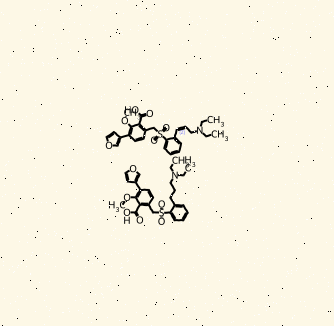 CCN(CC)C/C=C\c1ccccc1S(=O)(=O)Cc1ccc(-c2ccoc2)c(OC)c1C(=O)O.CCN(CC)CCCc1ccccc1S(=O)(=O)Cc1ccc(-c2ccoc2)c(OC)c1C(=O)O